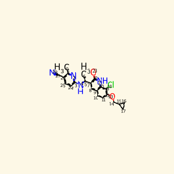 Cc1nc(N[C@@H](C)c2cc3ccc(OCC4CC4)c(Cl)c3[nH]c2=O)ccc1C#N